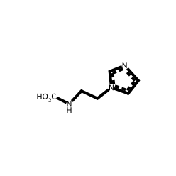 O=C(O)NCCn1ccnc1